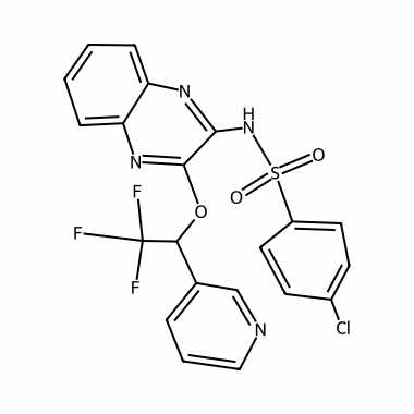 O=S(=O)(Nc1nc2ccccc2nc1OC(c1cccnc1)C(F)(F)F)c1ccc(Cl)cc1